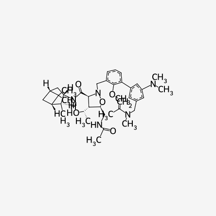 C=C(C)N(C)Cc1cc(-c2cccc(CN3O[C@@H](CNC(C)=O)[C@H]([C@H](C)O)[C@H]3C(=O)N[C@H]3C[C@H]4C[C@@H]([C@@H]3C)C4(C)C)c2OC)cc(N(C)C)c1